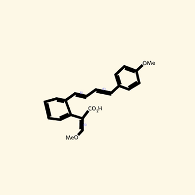 CO/C=C(/C(=O)O)c1ccccc1/C=C/C=C/c1ccc(OC)cc1